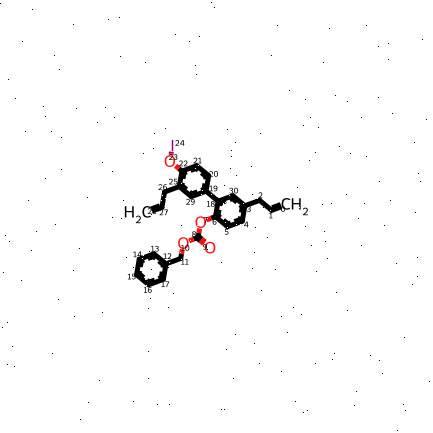 C=CCc1ccc(OC(=O)OCc2ccccc2)c(-c2ccc(OI)c(CC=C)c2)c1